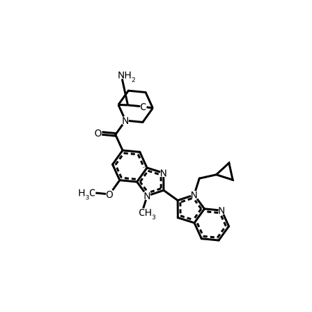 COc1cc(C(=O)N2CC3CCC2C(N)C3)cc2nc(-c3cc4cccnc4n3CC3CC3)n(C)c12